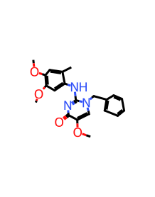 COc1cc(C)c(Nc2nc(=O)c(OC)cn2Cc2ccccc2)cc1OC